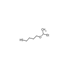 CCC(C)OCCCCS